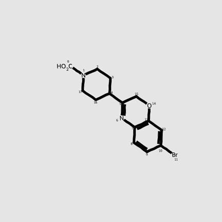 O=C(O)N1CCC(C2=Nc3ccc(Br)cc3OC2)CC1